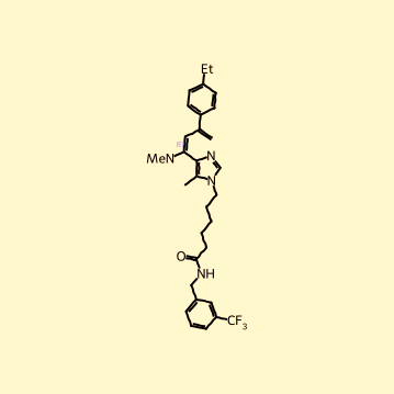 C=C(/C=C(/NC)c1ncn(CCCCCC(=O)NCc2cccc(C(F)(F)F)c2)c1C)c1ccc(CC)cc1